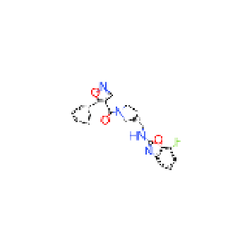 O=C(c1cnoc1-c1ccccc1)N1CC[C@H](CNc2nc3cccc(F)c3o2)C1